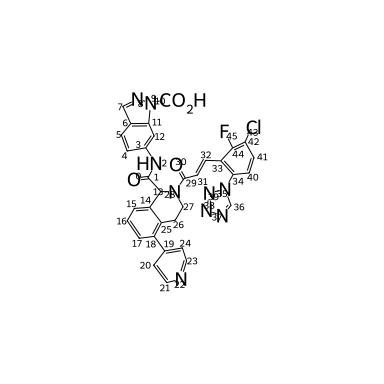 O=C(Nc1ccc2cnn(C(=O)O)c2c1)C1c2cccc(-c3ccncc3)c2CCN1C(=O)C=Cc1c(-n2cnnn2)ccc(Cl)c1F